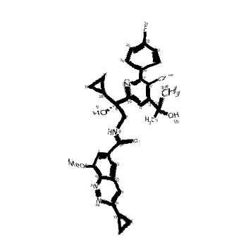 COc1cc(C(=O)NC[C@](O)(c2cc(C(C)(C)O)c(Cl)c(-c3ccc(F)cc3)n2)C2CC2)cc2cc(C3CC3)nnc12